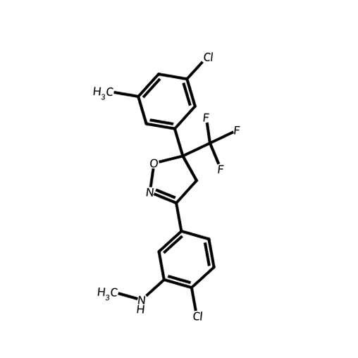 CNc1cc(C2=NOC(c3cc(C)cc(Cl)c3)(C(F)(F)F)C2)ccc1Cl